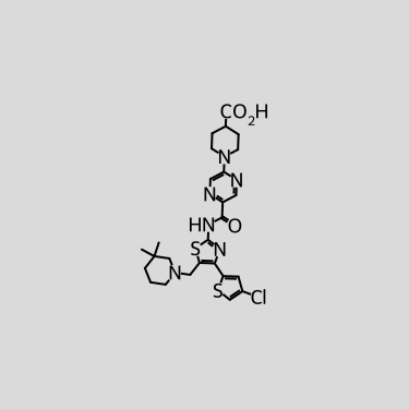 CC1(C)CCCN(Cc2sc(NC(=O)c3cnc(N4CCC(C(=O)O)CC4)cn3)nc2-c2cc(Cl)cs2)C1